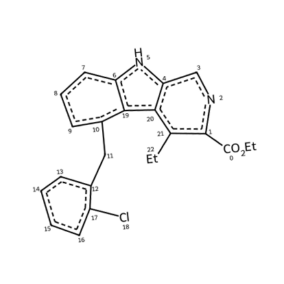 CCOC(=O)c1ncc2[nH]c3cccc(Cc4ccccc4Cl)c3c2c1CC